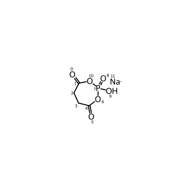 O=C1CCC(=O)OP(=O)(O)O1.[Na]